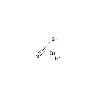 N#CS.[Eu].[H+]